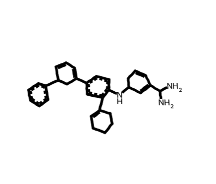 NC(N)C1=CC(Nc2ccc(C3=CC=CC(c4ccccc4)C3)cc2C2=CCCCC2)CC=C1